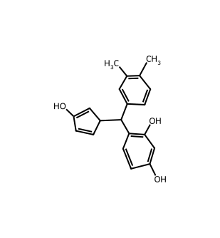 Cc1ccc(C(c2ccc(O)cc2O)C2C=CC(O)=C2)cc1C